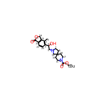 Cc1c(C(O)CN2CCC3(CCN(C(=O)OC(C)(C)C)CC3)C2)ccc2c1COC2=O